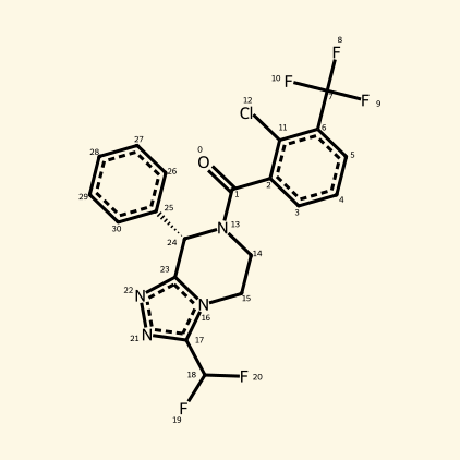 O=C(c1cccc(C(F)(F)F)c1Cl)N1CCn2c(C(F)F)nnc2[C@@H]1c1ccccc1